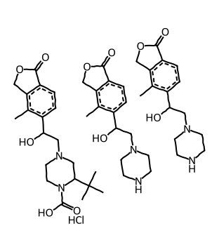 Cc1c(C(O)CN2CCN(C(=O)O)C(C(C)(C)C)C2)ccc2c1COC2=O.Cc1c(C(O)CN2CCNCC2)ccc2c1COC2=O.Cc1c(C(O)CN2CCNCC2)ccc2c1COC2=O.Cl